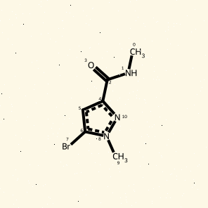 CNC(=O)c1cc(Br)n(C)n1